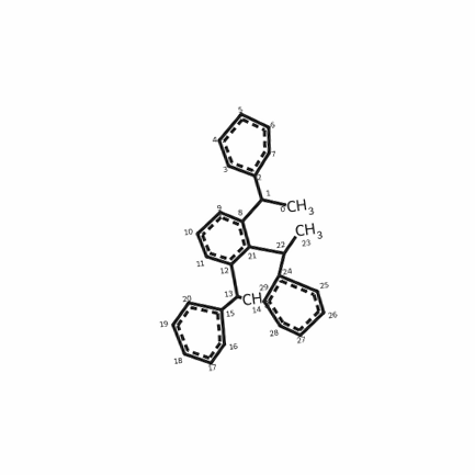 CC(c1ccccc1)c1[c]ccc(C(C)c2ccccc2)c1C(C)c1ccccc1